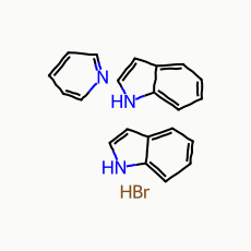 Br.c1ccc2[nH]ccc2c1.c1ccc2[nH]ccc2c1.c1ccncc1